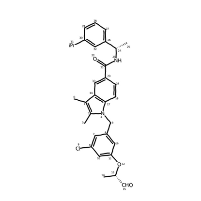 Cc1c(C)n(Cc2cc(Cl)cc(O[C@@H](C)C=O)c2)c2ccc(C(=O)N[C@@H](C)c3cccc(C(C)C)c3)cc12